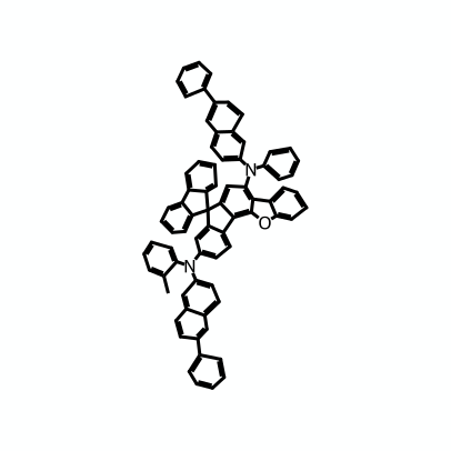 Cc1ccccc1N(c1ccc2c(c1)C1(c3ccccc3-c3ccccc31)c1cc(N(c3ccccc3)c3ccc4cc(-c5ccccc5)ccc4c3)c3c(oc4ccccc43)c1-2)c1ccc2cc(-c3ccccc3)ccc2c1